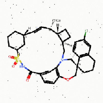 CO[C@H]1/C=C/[C@H]2CCC[C@@H](C2)S(=O)(=O)NC(=O)c2ccc3c(c2)N(C[C@@H]2CC[C@H]21)C[C@@]1(CCCc2cc(Cl)ccc21)CO3